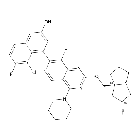 Oc1cc(-c2ncc3c(N4CCCCC4)nc(OC[C@@]45CCCN4C[C@H](F)C5)nc3c2F)c2c(Cl)c(F)ccc2c1